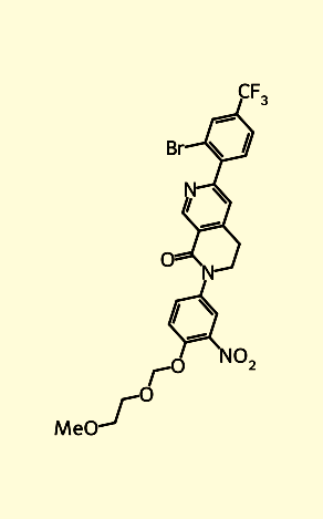 COCCOCOc1ccc(N2CCc3cc(-c4ccc(C(F)(F)F)cc4Br)ncc3C2=O)cc1[N+](=O)[O-]